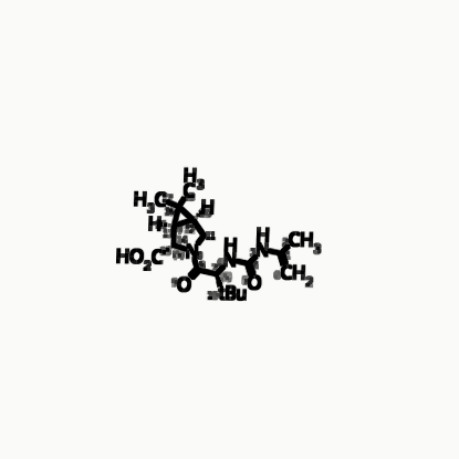 C=C(C)NC(=O)N[C@H](C(=O)N1C[C@H]2[C@@H]([C@H]1C(=O)O)C2(C)C)C(C)(C)C